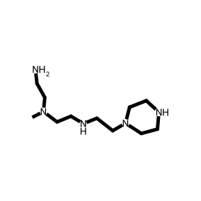 CN(CCN)CCNCCN1CCNCC1